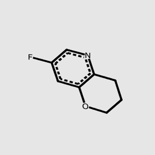 Fc1cnc2c(c1)OCCC2